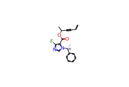 C=CC#CC(C)OC(=O)c1c(F)ncn1[C@H](C)c1ccccc1